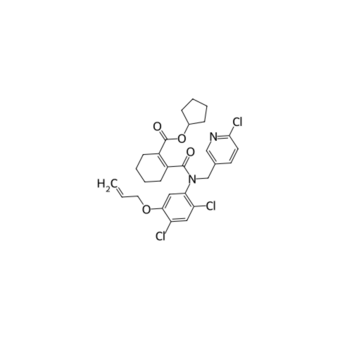 C=CCOc1cc(N(Cc2ccc(Cl)nc2)C(=O)C2=C(C(=O)OC3CCCC3)CCCC2)c(Cl)cc1Cl